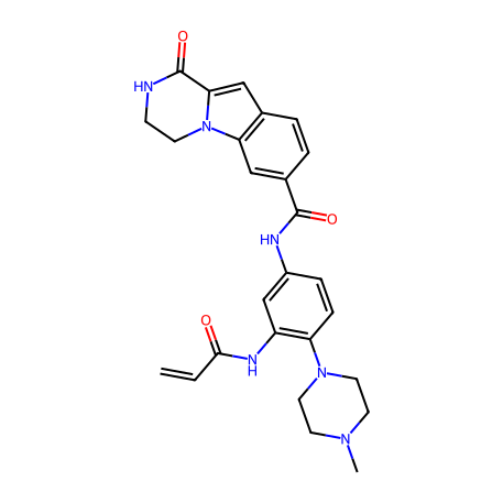 C=CC(=O)Nc1cc(NC(=O)c2ccc3cc4n(c3c2)CCNC4=O)ccc1N1CCN(C)CC1